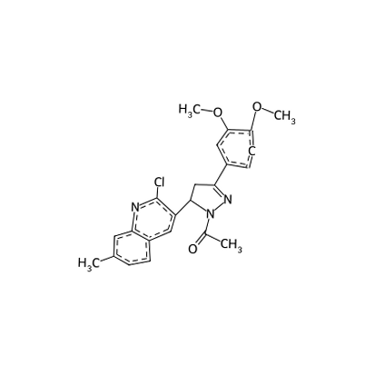 COc1ccc(C2=NN(C(C)=O)C(c3cc4ccc(C)cc4nc3Cl)C2)cc1OC